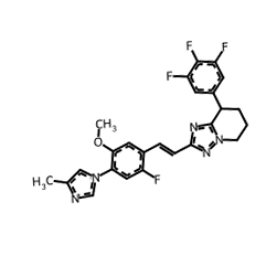 COc1cc(C=Cc2nc3n(n2)CCCC3c2cc(F)c(F)c(F)c2)c(F)cc1-n1cnc(C)c1